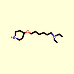 CCN(CC)CCCCCCOC1CCNCC1